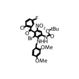 COc1ccc(CNc2c(NC(=O)OC(C)(C)C)cc([N+](=O)[O-])c(C(=O)c3cc(F)ccc3Cl)c2Br)c(OC)c1